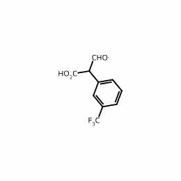 O=[C]C(C(=O)O)c1cccc(C(F)(F)F)c1